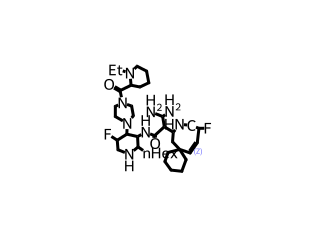 CCCCCCC1NCC(F)C(N2CCN(C(=O)C3CCCCN3CC)CC2)C1NC(=O)C(C(N)N)C1CC2(/C=C\C(F)CN1)CCCCC2